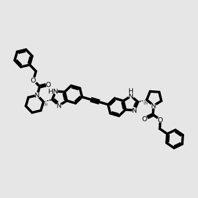 O=C(OCc1ccccc1)N1CCCC[C@H]1c1nc2cc(C#Cc3ccc4nc([C@@H]5CCCN5C(=O)OCc5ccccc5)[nH]c4c3)ccc2[nH]1